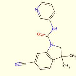 CC1(C)CN(C(=O)Nc2cccnc2)c2cc(C#N)ccc21